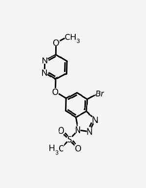 COc1ccc(Oc2cc(Br)c3nnn(S(C)(=O)=O)c3c2)nn1